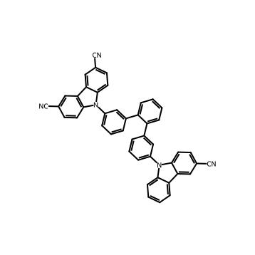 N#Cc1ccc2c(c1)c1ccccc1n2-c1cccc(-c2ccccc2-c2cccc(-n3c4ccc(C#N)cc4c4cc(C#N)ccc43)c2)c1